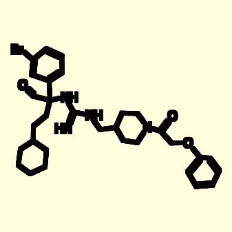 N=C(NCC1CCN(C(=O)COc2ccccc2)CC1)NC(C=O)(CCC1CCCCC1)c1cccc(Br)c1